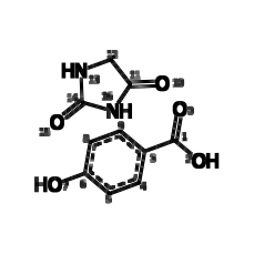 O=C(O)c1ccc(O)cc1.O=C1CNC(=O)N1